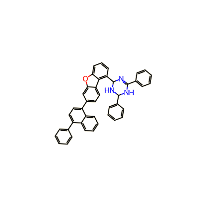 c1ccc(C2=NC(c3cccc4oc5cc(-c6ccc(-c7ccccc7)c7ccccc67)ccc5c34)NC(c3ccccc3)N2)cc1